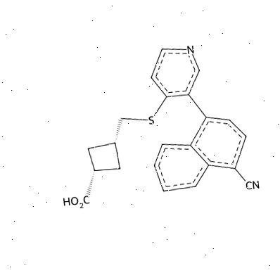 N#Cc1ccc(-c2cnccc2SC[C@H]2C[C@@H](C(=O)O)C2)c2ccccc12